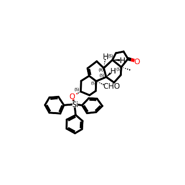 C[C@]12CC[C@H]3[C@@H](CC=C4C[C@@H](O[Si](c5ccccc5)(c5ccccc5)c5ccccc5)CC[C@@]43C=O)[C@@H]1CCC2=O